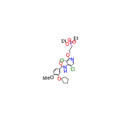 CCOP(=O)(CCCOc1ncc(Cl)c(NC(=O)c2ccc(OC)c(OC3CCCC3)c2)c1Cl)OCC